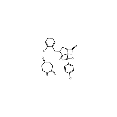 O=C1CC2(S(=O)(=O)c3ccc(Cl)cc3)C(=O)C(Cc3ccccc3Cl)CN12.O=C1CCNC(=O)CC1